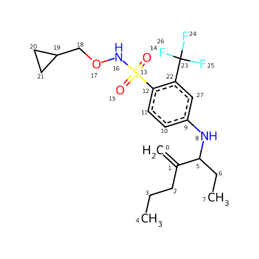 C=C(CCC)C(CC)Nc1ccc(S(=O)(=O)NOCC2CC2)c(C(F)(F)F)c1